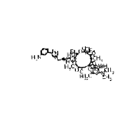 CC[C@H]1OC(=O)[C@@](C)(F)C(=O)[C@H](C)[C@@H](O[C@@H]2O[C@H](C)CC(N(C)C)C2O)[C@](C)(OC)C[C@@H](C)C(=O)[C@H](C)[C@@H](NCC#CCn2cc(-c3cccc(N)c3)nn2)[C@]1(C)O